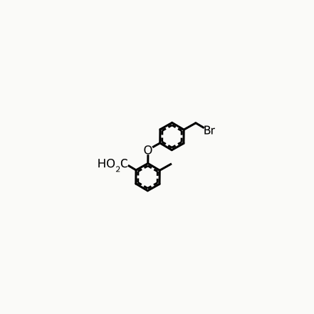 Cc1cccc(C(=O)O)c1Oc1ccc(CBr)cc1